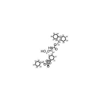 O=C(N[C@@H](Cc1ccc(OP(=O)(O)OCc2ccccc2)cc1)C(=O)O)OCC1c2ccccc2-c2ccccc21